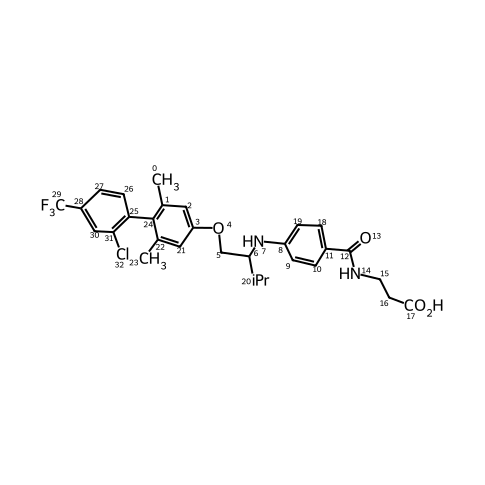 Cc1cc(OCC(Nc2ccc(C(=O)NCCC(=O)O)cc2)C(C)C)cc(C)c1-c1ccc(C(F)(F)F)cc1Cl